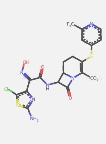 Nc1nc(/C(=N/O)C(=O)NC2C(=O)N3C(C(=O)O)=C(Sc4ccnc(C(F)(F)F)c4)CCC23)c(Cl)s1